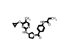 C=CC(=O)Nc1ccc(C(=O)N2CC[C@@H](Nc3ncc(C)c(OC4CC4)n3)C2)cc1